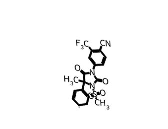 CC1(C2=CC[CH]C=C2)C(=O)N(c2ccc(C#N)c(C(F)(F)F)c2)C(=O)N1S(C)(=O)=O